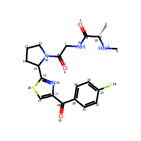 CN[C@@H](C)C(=O)NCC(=O)N1CCCC1c1nc(C(=O)c2ccc(F)cc2)cs1